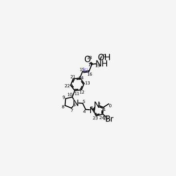 Cc1nn(CCN2CCCC2c2ccc(/C=C/C(=O)NO)cc2)cc1Br